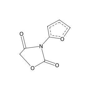 O=C1COC(=O)N1c1ccco1